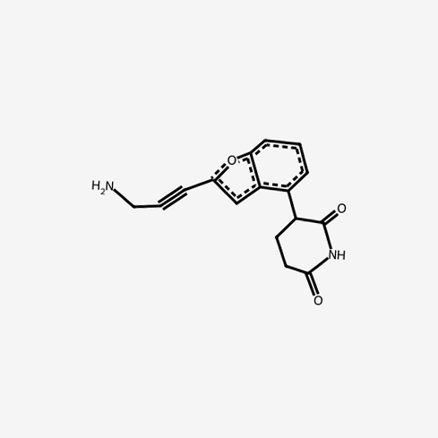 NCC#Cc1cc2c(C3CCC(=O)NC3=O)cccc2o1